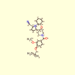 COc1cc(C(=O)N2CCC3(CC2)Oc2ccccc2-n2c(C#N)ccc23)ccc1OCC(C)C